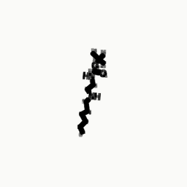 CCCCCCNCCNC(=O)OC(C)(C)C